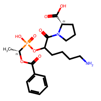 C[C@@H](OC(=O)c1ccccc1)P(=O)(O)OC(CCCCN)C(=O)N1CCC[C@H]1C(=O)O